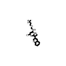 C[Si](C)(C)CCOCNc1cc(Cl)nc2c(-c3cnc4ccccc4c3)cnn12